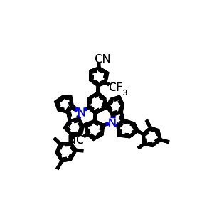 Cc1cc(C)c(-c2ccc3c(c2)c2ccccc2n3-c2ccc(C#N)cc2-c2ccc(-c3ccc(C#N)cc3C(F)(F)F)cc2-n2c3ccccc3c3cc(-c4c(C)cc(C)cc4C)ccc32)c(C)c1